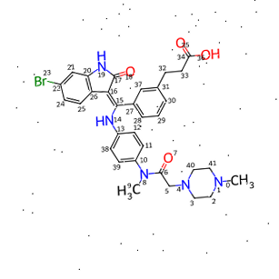 CN1CCN(CC(=O)N(C)c2ccc(NC(=C3C(=O)Nc4cc(Br)ccc43)c3cccc(CCC(=O)O)c3)cc2)CC1